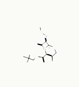 CO/N=C1\C(=O)N2C(C(=O)OCC(Cl)(Cl)Cl)=C(C)CS[C@H]12